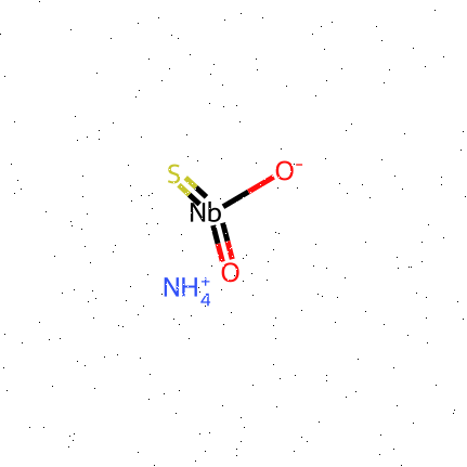 [NH4+].[O]=[Nb]([O-])=[S]